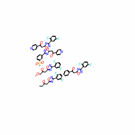 CCC(=O)Cc1nc(-c2cc(F)ccc2F)no1.COCC(=O)Cc1nc(-c2cc(F)ccc2F)no1.CS(=O)(=O)c1cccc(-c2noc(CC(=O)c3ccncc3)n2)c1.O=C(Cc1nc(-c2cc(F)ccc2F)no1)c1ccccc1.O=C(Cc1nc(-c2cc(F)ccc2F)no1)c1ccncc1